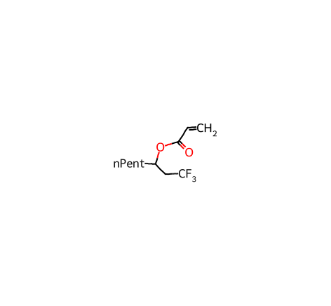 C=CC(=O)OC(CCCCC)CC(F)(F)F